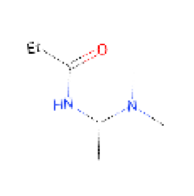 CCC(=O)NC(C)N(C)C